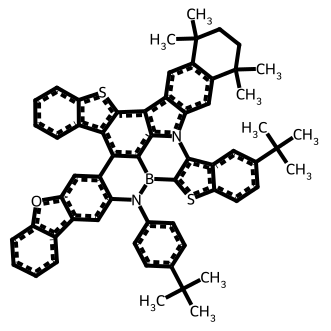 CC(C)(C)c1ccc(N2B3c4sc5ccc(C(C)(C)C)cc5c4-n4c5cc6c(cc5c5c7sc8ccccc8c7c(c3c54)-c3cc4oc5ccccc5c4cc32)C(C)(C)CCC6(C)C)cc1